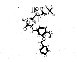 COC(=O)[C@H](Cc1ccc(OC)c(OCc2ccccc2)c1)NC(=O)[C@H](CO)NC(=O)OC(C)(C)C